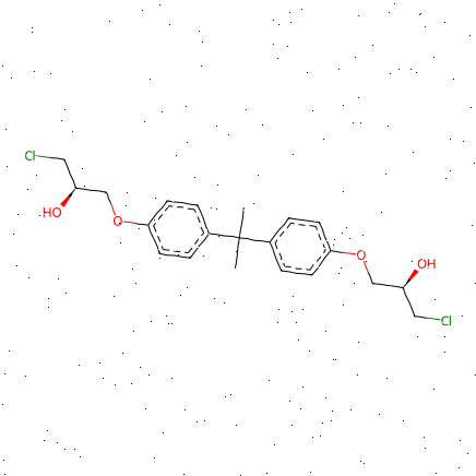 CC(C)(c1ccc(OC[C@@H](O)CCl)cc1)c1ccc(OC[C@@H](O)CCl)cc1